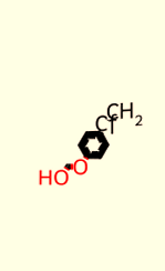 [CH2]=[Cf][c]1ccc(OCO)cc1